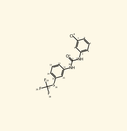 O=C(Nc1cccc(Cl)c1)Nc1cccc(SC(F)(F)F)c1